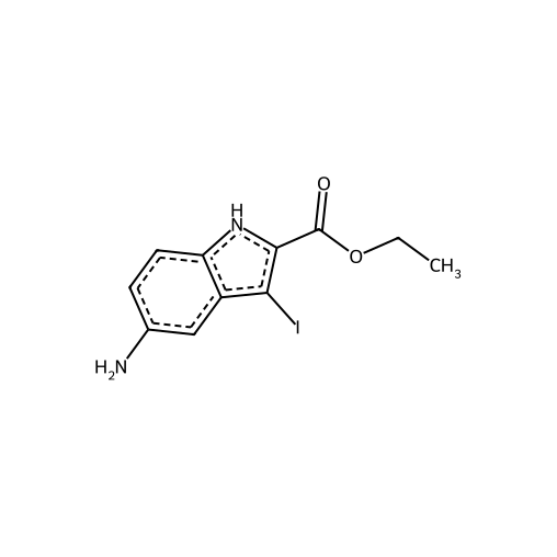 CCOC(=O)c1[nH]c2ccc(N)cc2c1I